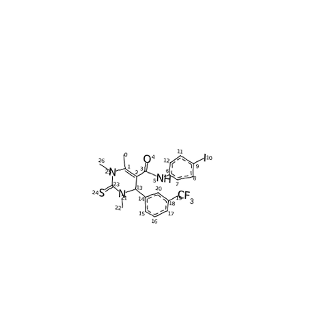 CC1=C(C(=O)Nc2ccc(I)cc2)C(c2cccc(C(F)(F)F)c2)N(C)C(=S)N1C